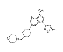 Cn1cc(-c2cn(S)c3ncc(C4CCC(CN5CCOCC5)CC4)cc23)cn1